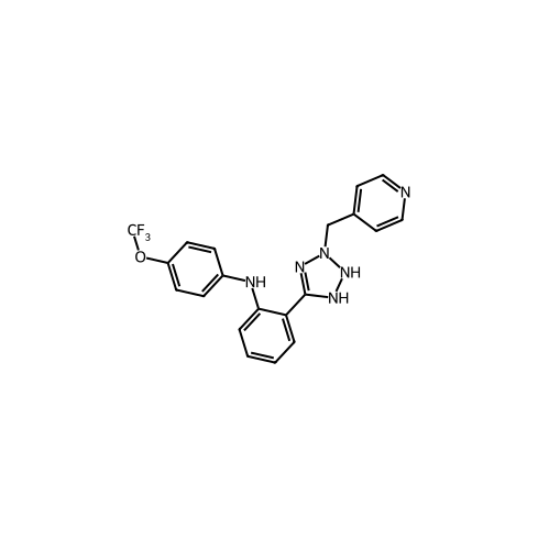 FC(F)(F)Oc1ccc(Nc2ccccc2C2=NN(Cc3ccncc3)NN2)cc1